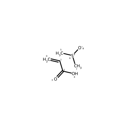 C=CC(=O)O.C[S+](C)[O-]